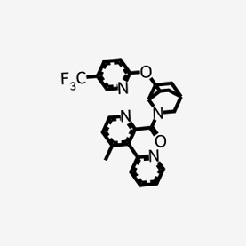 Cc1ccnc(C(=O)N2CC3CCC2C(Oc2ccc(C(F)(F)F)cn2)C3)c1-c1ccccn1